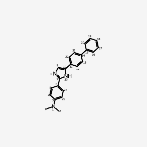 CN(C)c1ccc(-c2ncc(-c3ccc(-c4ccccc4)cc3)[nH]2)cc1